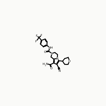 N#Cc1c(C(N)=O)c2n(c1C1CCOCC1)CCN(C(=O)Nc1ccc(C(F)(F)F)cc1)C2